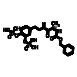 C[C@H](NC(=O)OCc1ccccc1)C(=O)NCCc1ccc(OP(=O)(O)O)c(OP(=O)(O)O)c1